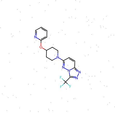 FC(F)(F)c1nnc2ccc(N3CCC(Oc4ccccn4)CC3)nn12